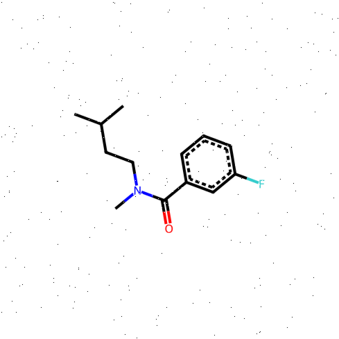 CC(C)CCN(C)C(=O)c1cccc(F)c1